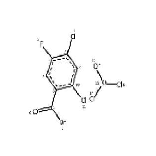 O=C(Br)c1cc(F)c(Cl)cc1Cl.[O-][S+](Cl)Cl